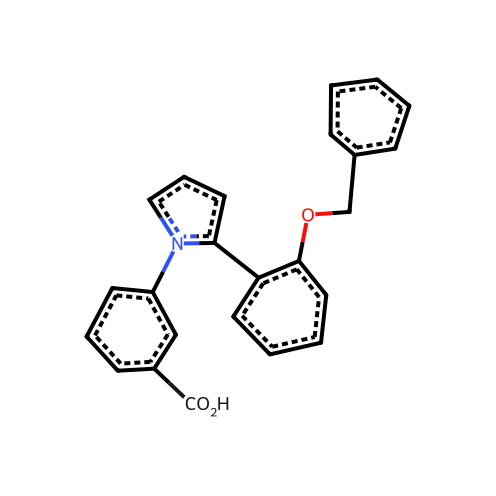 O=C(O)c1cccc(-n2cccc2-c2ccccc2OCc2ccccc2)c1